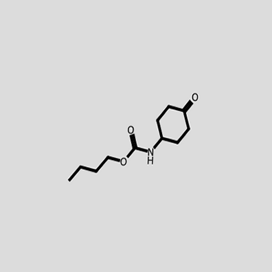 CCCCOC(=O)NC1CCC(=O)CC1